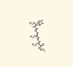 COC(=O)/C(C)=C/C=C/C(C)=C/C=C/C=C(/C)C1OCCO1